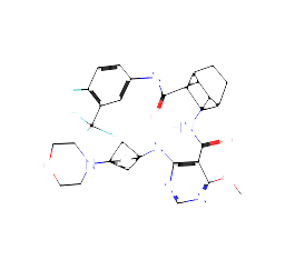 COc1ncnc(NC23CC(N4CCOCC4)(C2)C3)c1C(=O)NC1C2CCC(CC2)C1C(=O)Nc1ccc(F)c(C(F)(F)F)c1